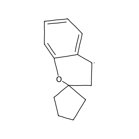 [CH]1CC2(CCCC2)Oc2ccccc21